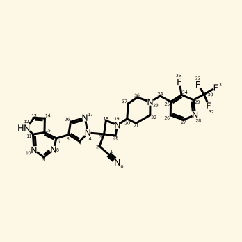 N#CCC1(n2cc(-c3ncnc4[nH]ccc34)cn2)CN(C2CCN(Cc3ccnc(C(F)(F)F)c3F)CC2)C1